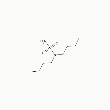 CCCCN(CCCC)S(N)(=O)=O